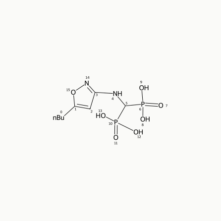 CCCCc1cc(NC(P(=O)(O)O)P(=O)(O)O)no1